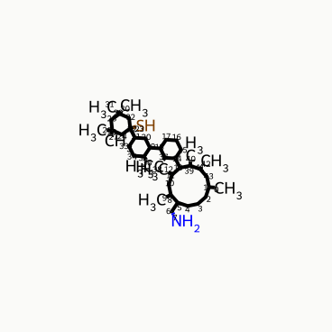 CC1CCCC(CN)C(C)CC(C)C(C2CCCC(C3CC(C4(S)CC(C)(C)CC(C)(C)C4)CCC3C)C2C)C(C)C(C)C1